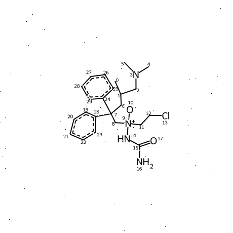 CC(CN(C)C)CC(C[N+]([O-])(CCCl)NC(N)=O)(c1ccccc1)c1ccccc1